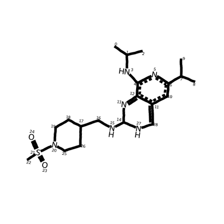 CC(C)Nc1nc(C(C)C)cc2c1=NC(NCC1CCN(S(C)(=O)=O)CC1)NC=2